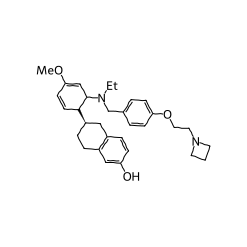 CCN(Cc1ccc(OCCN2CCC2)cc1)C1C=C(OC)C=CC1[C@@H]1CCc2cc(O)ccc2C1